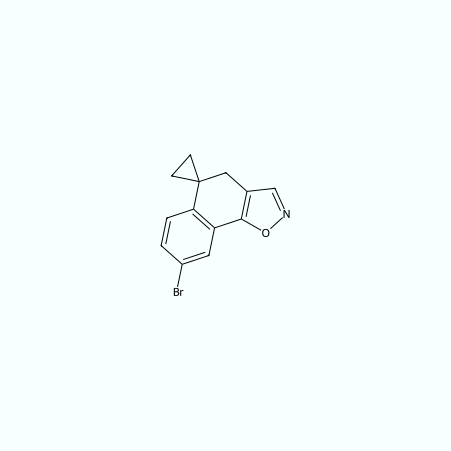 Brc1ccc2c(c1)-c1oncc1CC21CC1